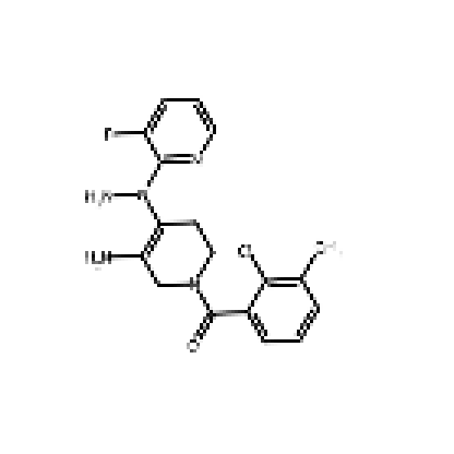 Cc1cccc(C(=O)N2CCC(N(N)c3ncccc3F)=C(N)C2)c1Cl